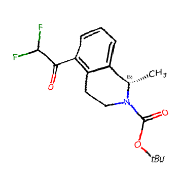 C[C@H]1c2cccc(C(=O)C(F)F)c2CCN1C(=O)OC(C)(C)C